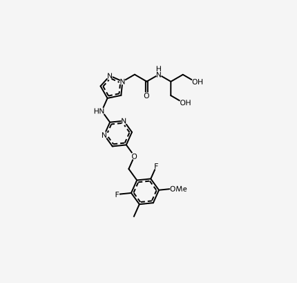 COc1cc(C)c(F)c(COc2cnc(Nc3cnn(CC(=O)NC(CO)CO)c3)nc2)c1F